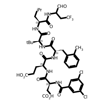 Cc1ccccc1C[C@H](NC(=O)[C@H](CCC(=O)O)NC(=O)[C@H](CC(=O)O)NC(=O)c1cc(Cl)cc(Cl)c1)C(=O)N[C@H](C(=O)N[C@@H](CC(C)C)C(=O)NC(C=O)CC(F)(F)F)C(C)(C)C